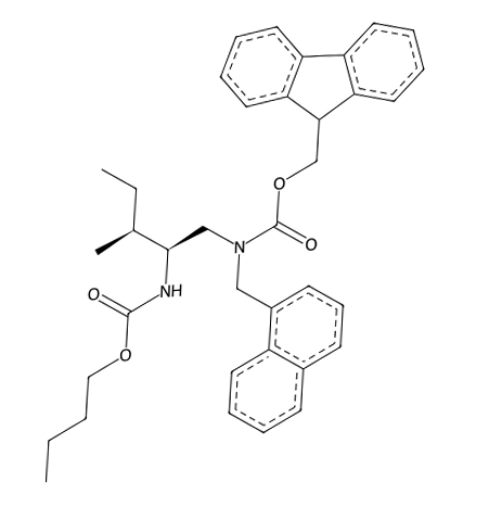 CCCCOC(=O)N[C@H](CN(Cc1cccc2ccccc12)C(=O)OCC1c2ccccc2-c2ccccc21)[C@@H](C)CC